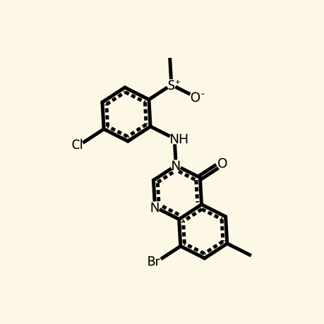 Cc1cc(Br)c2ncn(Nc3cc(Cl)ccc3[S+](C)[O-])c(=O)c2c1